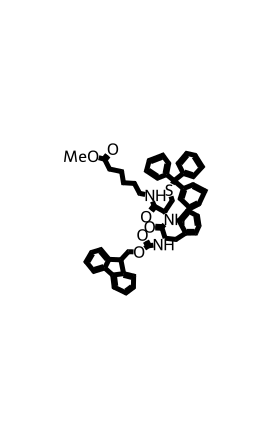 COC(=O)CCCCCNC(=O)C(CSC(c1ccccc1)(c1ccccc1)c1ccccc1)NC(=O)C(Cc1ccccc1)NC(=O)OCC1c2ccccc2-c2ccccc21